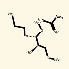 CCCOC[C@@H](O)[C@H](CCCO)OCCC.CNC(=N)N